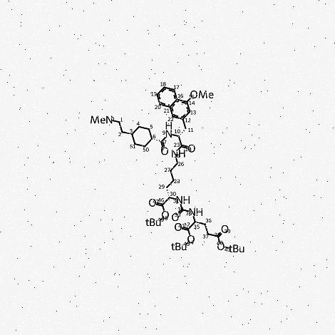 CNCC[C@H]1CC[C@H](C(=O)N[C@H](Cc2cc(OC)c3ccccc3c2)C(=O)NCCCC[C@H](NC(=O)N[C@@H](CCC(=O)OC(C)(C)C)C(=O)OC(C)(C)C)C(=O)OC(C)(C)C)CC1